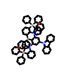 c1ccc(N2c3cc(-n4c5ccccc5c5ccccc54)cc4c3B(c3ccccc3N4c3ccccc3[Si](c3ccccc3)(c3ccccc3)c3ccccc3)c3cccc([Si](c4ccccc4)(c4ccccc4)c4ccccc4)c32)cc1